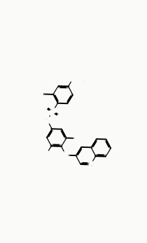 Cc1ccc(S(=O)(=O)Nc2cc(C)c(Oc3cnc4ccccc4c3)c(Cl)c2)c(Cl)c1